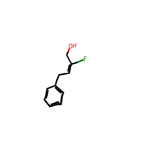 OC/C(F)=C\Cc1ccccc1